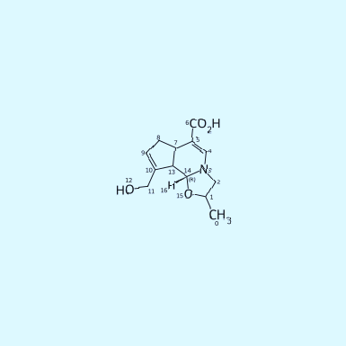 CC1CN2C=C(C(=O)O)C3CC=C(CO)C3[C@H]2O1